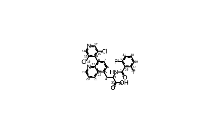 O=C(NC(Cc1ccc(-c2c(Cl)cncc2Cl)c2ncccc12)C(=O)O)c1c(F)cccc1F